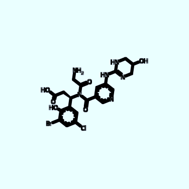 NCC(=O)N(C(=O)c1cncc(NC2=NCC(O)CN2)c1)[C@H](CC(=O)O)c1cc(Cl)cc(Br)c1O